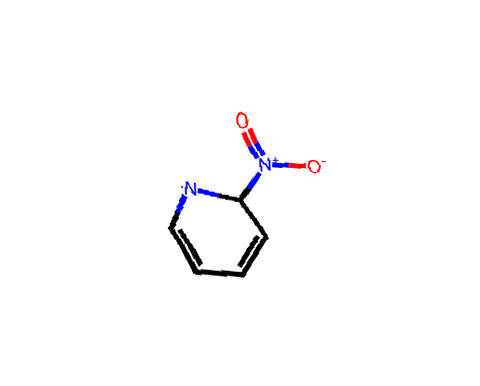 O=[N+]([O-])C1C=CC=C[N]1